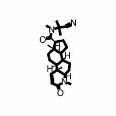 CN1C(=O)C=C[C@]2(C)[C@H]3CC[C@]4(C)[C@@H](C(=O)N(C)C(C)(C)C#N)CC[C@H]4[C@@H]3CC[C@@H]12